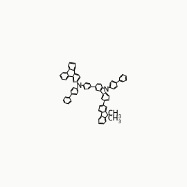 CC1(C)c2ccccc2-c2ccc(-c3ccc4c(c3)c3cc(-c5ccc(N(c6ccc(-c7ccccc7)cc6)c6ccc7c8ccccc8c8ccccc8c7c6)cc5)ccc3n4-c3ccc(-c4ccccc4)cc3)cc21